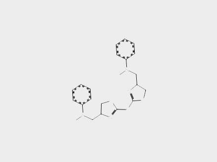 CCN(CC1COC(NC2=NC(CN(CC)c3ccccc3)CO2)=N1)c1ccccc1